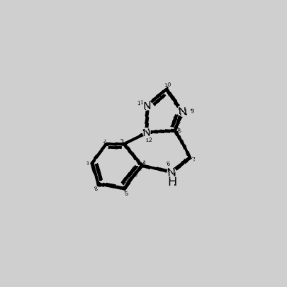 c1ccc2c(c1)NCc1ncnn1-2